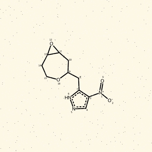 O=[N+]([O-])c1cn[nH]c1CC1CC2OC2CCO1